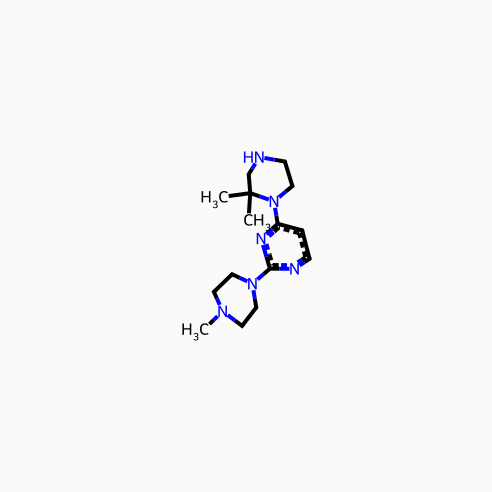 CN1CCN(c2nccc(N3CCNCC3(C)C)n2)CC1